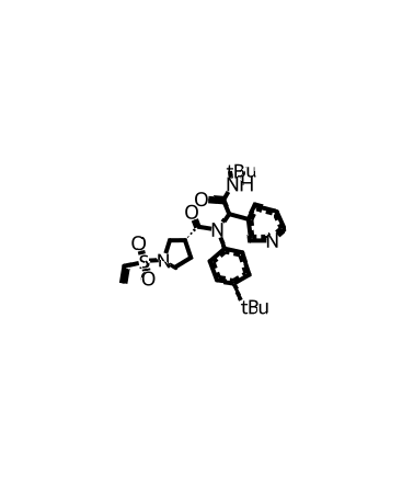 C=CS(=O)(=O)N1CC[C@@H](C(=O)N(c2ccc(C(C)(C)C)cc2)C(C(=O)NC(C)(C)C)c2cccnc2)C1